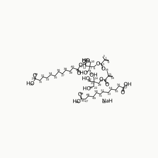 C=C(C)C(=O)OCC(CO)(CO)CO.C=C(C)C(=O)OCC(CO)(CO)CO.O=C(O)CCCCCCCCCCC(=O)O.O=C(O)CCCCCCCCCCC(=O)O.[NaH]